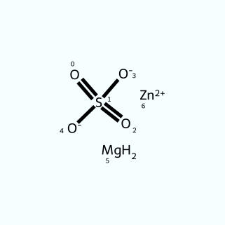 O=S(=O)([O-])[O-].[MgH2].[Zn+2]